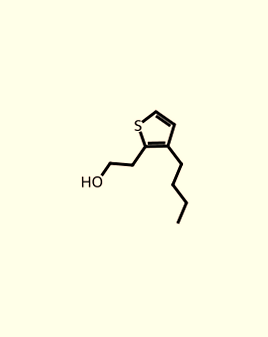 CCCCc1ccsc1CCO